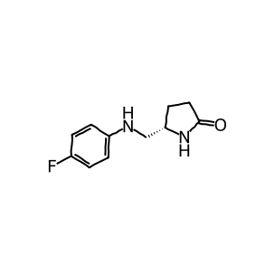 O=C1CC[C@@H](CNc2ccc(F)cc2)N1